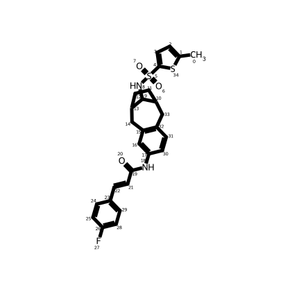 Cc1ccc(S(=O)(=O)NC2C3CCC2Cc2cc(NC(=O)/C=C/c4ccc(F)cc4)ccc2C3)s1